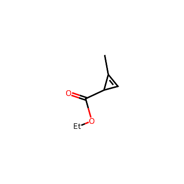 CCOC(=O)C1C=C1C